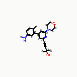 CNc1ccc(C)c(-c2cc(C#CC(C)(C)O)nc(N3CCOCC3)c2)c1